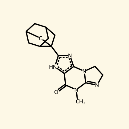 CN1C(=O)c2[nH]c(C34CC5CC(CC3C5)C4)nc2N2CCN=C12